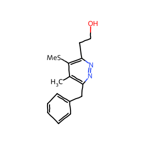 CSc1c(CCO)nnc(Cc2ccccc2)c1C